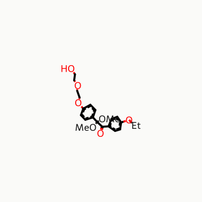 CCOc1ccc(C(=O)C(OC)(OC)c2ccc(OCCOCCO)cc2)cc1